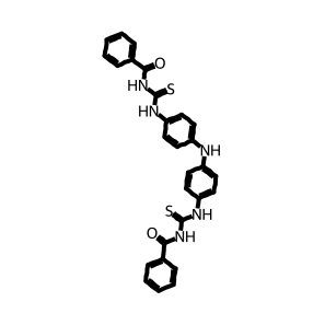 O=C(NC(=S)Nc1ccc(Nc2ccc(NC(=S)NC(=O)c3ccccc3)cc2)cc1)c1ccccc1